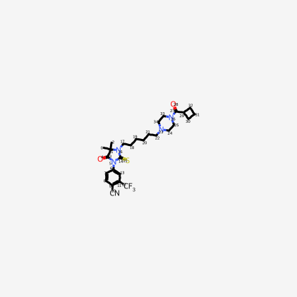 CC1(C)C(=O)N(c2ccc(C#N)c(C(F)(F)F)c2)C(=S)N1CCCCCCN1CCN(C(=O)C2CCC2)CC1